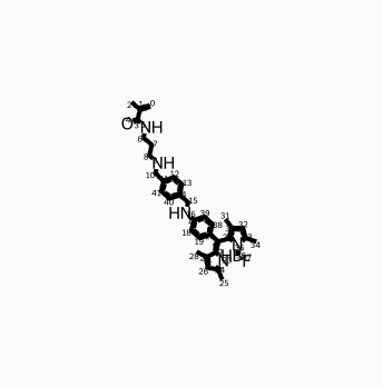 C=C(C)C(=O)NCCCNCc1ccc(CNc2ccc(/C(=C3/N=C(C)C=C3C)c3c(C)cc(C)n3BF)cc2)cc1